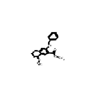 COC(=O)c1cc2c(cc1OCc1ccccc1)CCC/C2=N\O